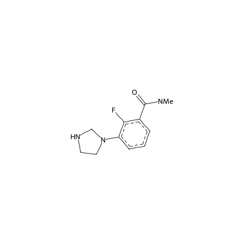 CNC(=O)c1cccc(N2CCNC2)c1F